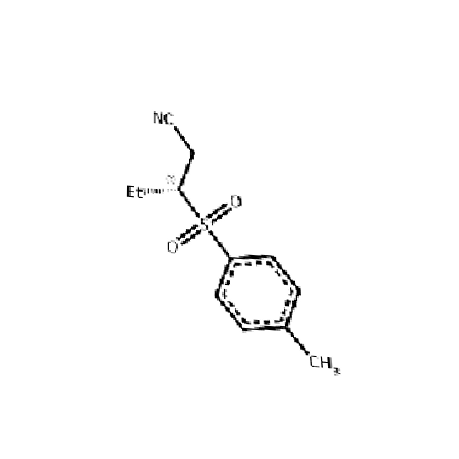 CC[C@H](CC#N)S(=O)(=O)c1ccc(C)cc1